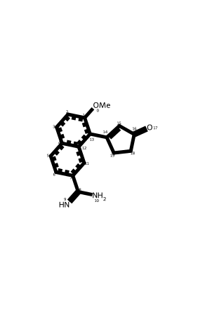 COc1ccc2ccc(C(=N)N)cc2c1C1=CC(=O)CC1